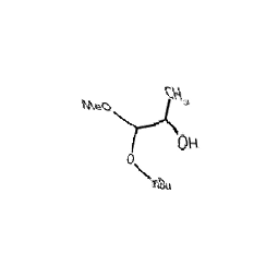 CCCCOC(OC)C(C)O